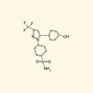 NS(=O)(=O)c1ccc(-n2nc(C(F)(F)F)cc2-c2ccc(O)cc2)cc1